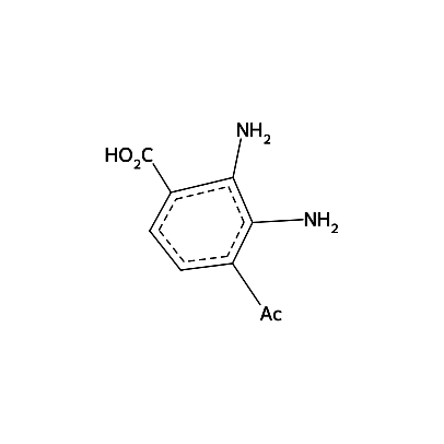 CC(=O)c1ccc(C(=O)O)c(N)c1N